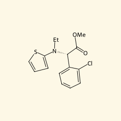 CCN(c1cccs1)[C@H](C(=O)OC)c1ccccc1Cl